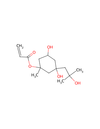 C=CC(=O)OC1(C)CC(O)CC(O)(CC(C)(C)O)C1